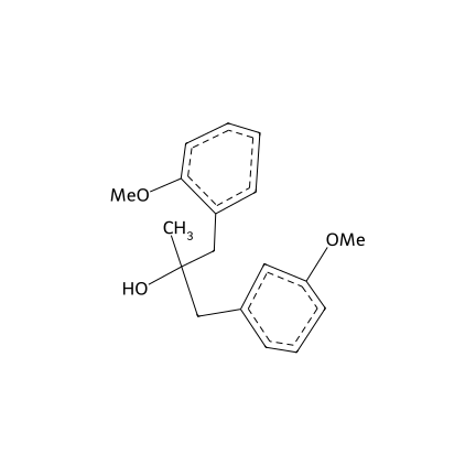 COc1cccc(CC(C)(O)Cc2ccccc2OC)c1